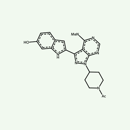 CNc1ncnc2c1c(-c1cc3ccc(O)cc3[nH]1)nn2C1CCN(C(C)=O)CC1